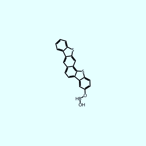 OBOc1ccc2sc3c4cc5sc6ccccc6c5cc4ccc3c2c1